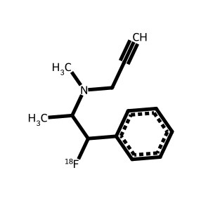 C#CCN(C)C(C)C([18F])c1ccccc1